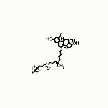 CN(CCCCC[C@@H]1Cc2cc(O)cc(F)c2[C@H]2CC[C@]3(C)[C@@H](O)CC[C@H]3[C@H]12)CCC[S+]([O-])CCCC(F)(F)C(F)(F)F